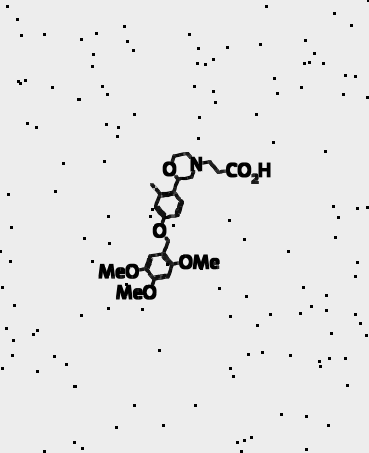 COc1cc(OC)c(OC)cc1COc1ccc(C2CN(CCC(=O)O)CCO2)c(C)c1